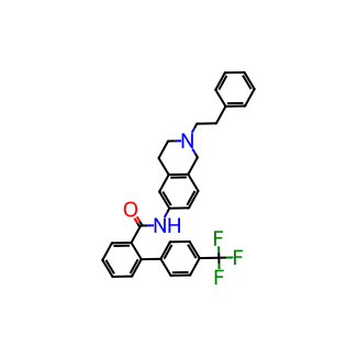 O=C(Nc1ccc2c(c1)CCN(CCc1ccccc1)C2)c1ccccc1-c1ccc(C(F)(F)F)cc1